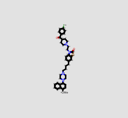 COc1ccc(N2CCN(CCCCc3ccc4c(c3)sc(=O)n4CCN3CCC(C(=O)c4ccc(F)cc4)CC3)CC2)c2ccccc12